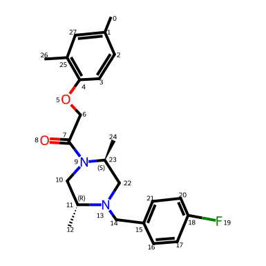 Cc1ccc(OCC(=O)N2C[C@@H](C)N(Cc3ccc(F)cc3)C[C@@H]2C)c(C)c1